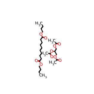 CC(=O)OCC(COC(C)=O)OC(C)=O.CCCCOC(=O)CCCCCCCCC(=O)OCCCC